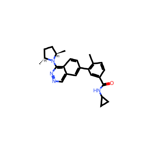 Cc1ccc(C(=O)NC2CC2)cc1-c1ccc2c(N3[C@H](C)CC[C@H]3C)nncc2c1